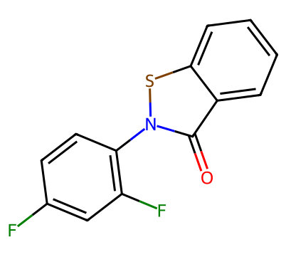 O=c1c2ccccc2sn1-c1ccc(F)cc1F